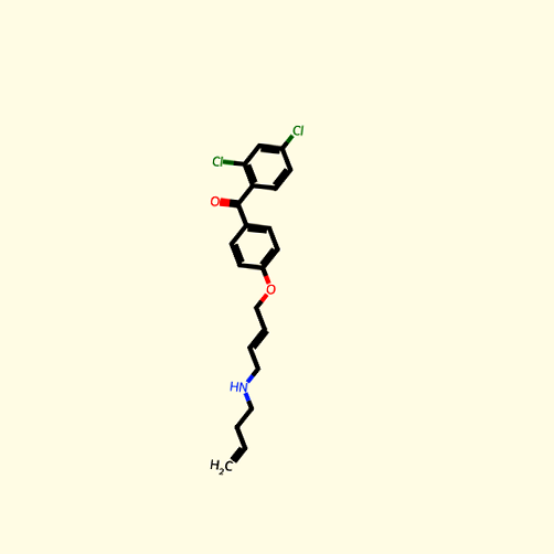 C=CCCNCC=CCOc1ccc(C(=O)c2ccc(Cl)cc2Cl)cc1